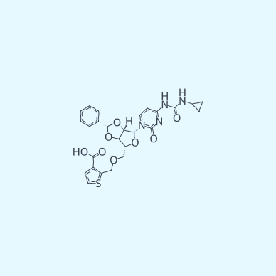 O=C(Nc1ccn([C@@H]2O[C@H](COCc3sccc3C(=O)O)C3O[C@H](c4ccccc4)O[C@@H]32)c(=O)n1)NC1CC1